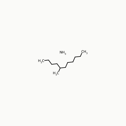 CCCCCCC(C)CCCC.N